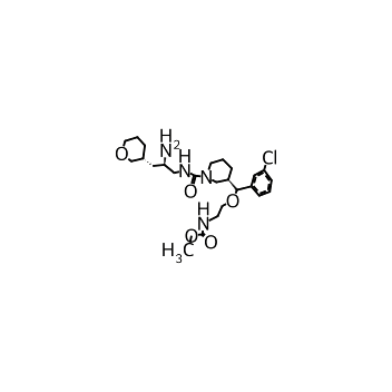 COC(=O)NCCOC(c1cccc(Cl)c1)[C@@H]1CCCN(C(=O)NC[C@H](N)C[C@H]2CCCOC2)C1